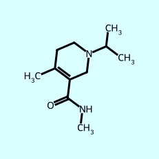 CNC(=O)C1=C(C)CCN(C(C)C)C1